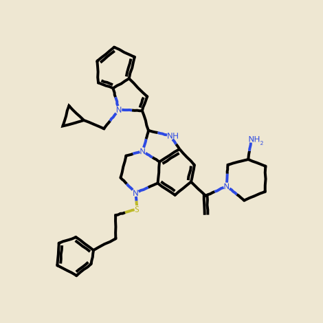 C=C(c1cc2c3c(c1)N(SCCc1ccccc1)CCN3C(c1cc3ccccc3n1CC1CC1)N2)N1CCCC(N)C1